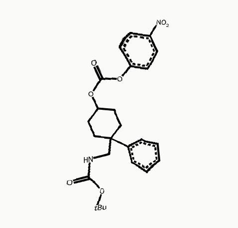 CC(C)(C)OC(=O)NCC1(c2ccccc2)CCC(OC(=O)Oc2ccc([N+](=O)[O-])cc2)CC1